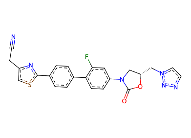 N#CCc1csc(-c2ccc(-c3ccc(N4C[C@H](Cn5ccnn5)OC4=O)cc3F)cc2)n1